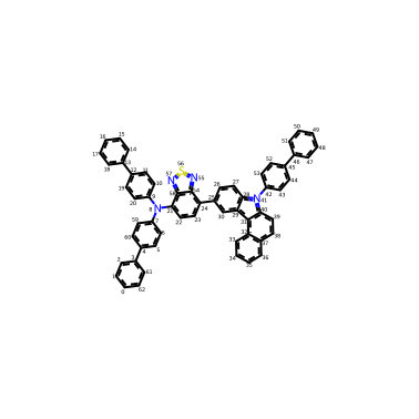 c1ccc(-c2ccc(N(c3ccc(-c4ccccc4)cc3)c3ccc(-c4ccc5c(c4)c4c6ccccc6ccc4n5-c4ccc(-c5ccccc5)cc4)c4nsnc34)cc2)cc1